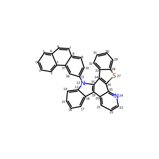 c1ccc2c(c1)ccc1ccc(-n3c4ccccc4c4c5cccnc5c5sc6ccccc6c5c43)cc12